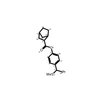 CSC(c1ccc(OC(=O)C2CC3CCC2C3)cc1)C(C)C